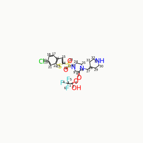 O=C(O)C(F)(F)F.O=C1CN(S(=O)(=O)c2cc3ccc(Cl)cc3s2)CCN1CC1CCNCC1